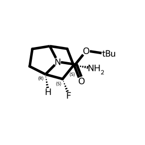 CC(C)(C)OC(=O)N1C2CC[C@@H]1[C@@H](F)[C@@H](N)C2